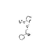 COc1ccccc1COCCC(Br)c1ccccc1